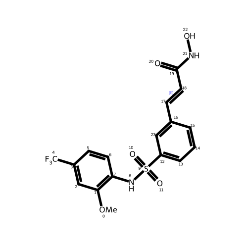 COc1cc(C(F)(F)F)ccc1NS(=O)(=O)c1cccc(/C=C/C(=O)NO)c1